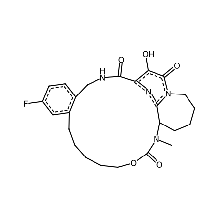 CN1C(=O)OCCCCCc2cc(F)ccc2CNC(=O)c2nc3n(c(=O)c2O)CCCCC31